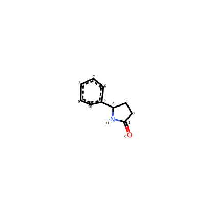 O=C1CCC(c2ccccc2)[N]1